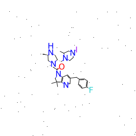 CC1CN(I)CCN1C[C@H]1CN[C@H](C)CN1CC(=O)N1CC(C)(C)c2ncc(Cc3ccc(F)cc3)cc21